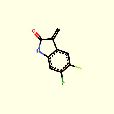 C=C1C(=O)Nc2cc(Cl)c(F)cc21